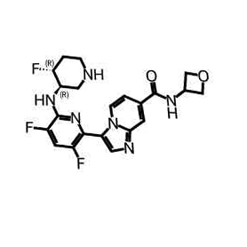 O=C(NC1COC1)c1ccn2c(-c3nc(N[C@@H]4CNCC[C@H]4F)c(F)cc3F)cnc2c1